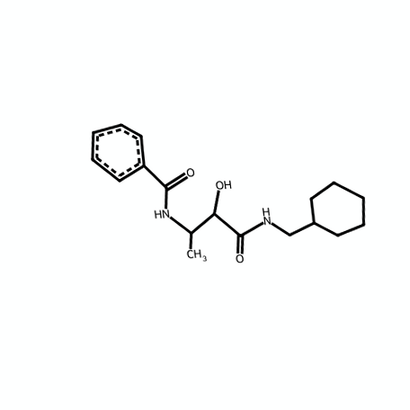 CC(NC(=O)c1ccccc1)C(O)C(=O)NCC1CCCCC1